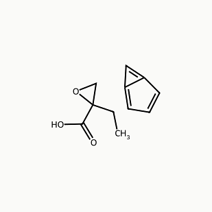 CCC1(C(=O)O)CO1.c1cc2cc-2c1